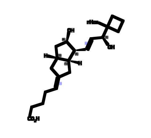 CCCCCCC1([C@@H](O)/C=C/[C@@H]2[C@H]3C/C(=C/CCCC(=O)O)C[C@@H]3C[C@H]2O)CCC1